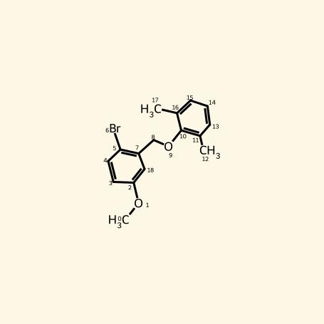 COc1ccc(Br)c(COc2c(C)cccc2C)c1